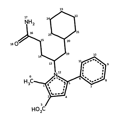 Cc1c(C(=O)O)cc(-c2ccccc2)n1C(CCC(N)=O)CC1CCCCC1